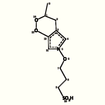 CC1Cc2cn(OCCCS(=O)(=O)O)cc2OO1